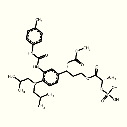 COC(=O)C[C@H](CCOC(=O)[C@H](C)OP(=O)(O)O)c1ccc(N(CC(C)C)CC(C)C)c(NC(=O)Nc2ccc(C)cc2)c1